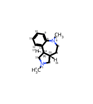 CN1C[C@H]2CCN(C)c3ccccc3[C@@H]2C1